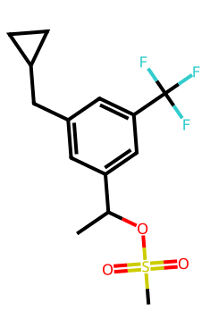 CC(OS(C)(=O)=O)c1cc(CC2CC2)cc(C(F)(F)F)c1